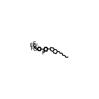 CCCCCCCC1CCC2CC(c3ccc(-c4ccc(OC(F)(F)C(F)F)cc4)c(F)c3)CCC2C1